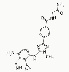 Cn1nc(-c2ccc(C(=O)NCC(N)=O)cc2)nc1Nc1ccc(N)c(C=N)c1C1CC1